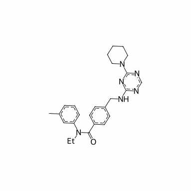 CCN(C(=O)c1ccc(CNc2ncnc(N3CCCCC3)n2)cc1)c1cccc(C)c1